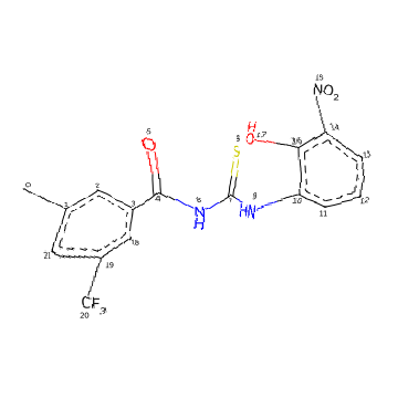 Cc1cc(C(=O)NC(=S)Nc2cccc([N+](=O)[O-])c2O)cc(C(F)(F)F)c1